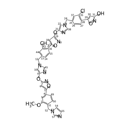 COc1cc(-c2cc(Oc3cn(Cc4ccc(-c5cc(Oc6cn(Cc7ccc(-c8cc(O)no8)c(Cl)c7)cn6)no5)c(C)c4)cn3)no2)ccc1Cn1ccnc1